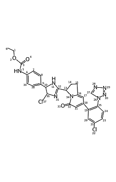 CCOC(=O)Nc1ccc(C2NC(C3CCc4cc(-c5cc(Cl)ccc5-n5cnnn5)cc(=O)n43)=NC2Cl)cc1